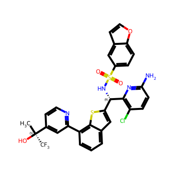 C[C@](O)(c1ccnc(-c2cccc3cc([C@H](NS(=O)(=O)c4ccc5occc5c4)c4nc(N)ccc4Cl)sc23)c1)C(F)(F)F